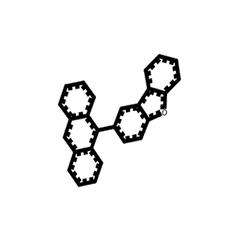 c1ccc2c(-c3ccc4oc5ccccc5c4c3)c3ccccc3cc2c1